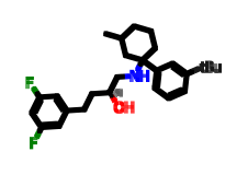 CC1CCCC(NC[C@@H](O)CCc2cc(F)cc(F)c2)(c2cccc(C(C)(C)C)c2)C1